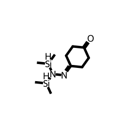 C[SiH](C)N(N=C1CCC(=O)CC1)[SiH](C)C